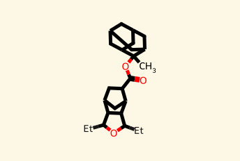 CCC1OC(CC)C2C3CC(CC3C(=O)OC3(C)C4CC5CC(C4)CC3C5)C12